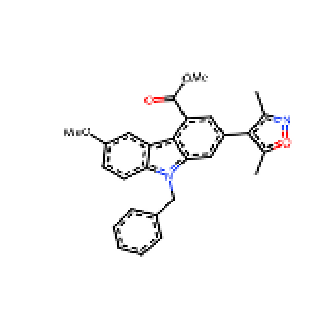 COC(=O)c1cc(-c2c(C)noc2C)cc2c1c1cc(OC)ccc1n2Cc1ccccc1